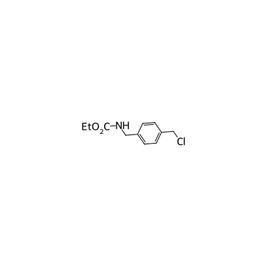 CCOC(=O)NCc1ccc(CCl)cc1